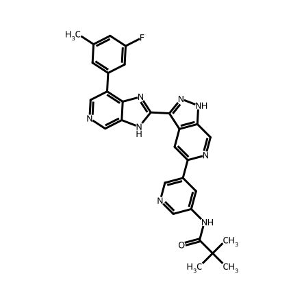 Cc1cc(F)cc(-c2cncc3[nH]c(-c4n[nH]c5cnc(-c6cncc(NC(=O)C(C)(C)C)c6)cc45)nc23)c1